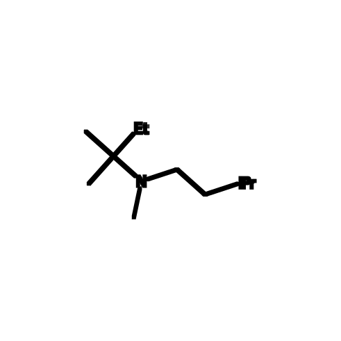 CCC(C)(C)N(C)CCC(C)C